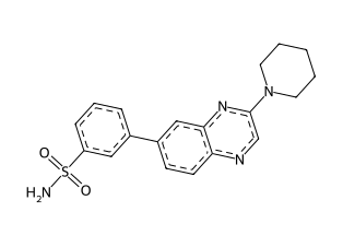 NS(=O)(=O)c1cccc(-c2ccc3ncc(N4CCCCC4)nc3c2)c1